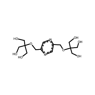 OCC(CO)(CO)OCc1cnc(COC(CO)(CO)CO)cn1